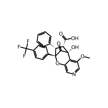 COc1cncc2c1[C@@]1(O)C(=O)[C@](c3ccc(C(F)(F)F)cc3)(O2)[C@H](c2ccccc2)[C@@H]1C(=O)O